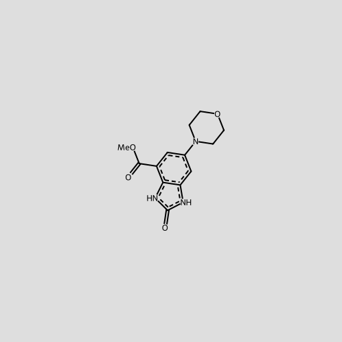 COC(=O)c1cc(N2CCOCC2)cc2[nH]c(=O)[nH]c12